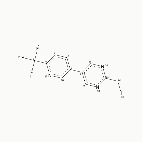 FC(F)(F)c1ccc(-c2cnc(CI)nc2)cn1